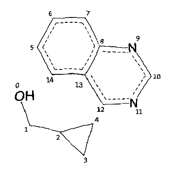 OCC1CC1.c1ccc2ncncc2c1